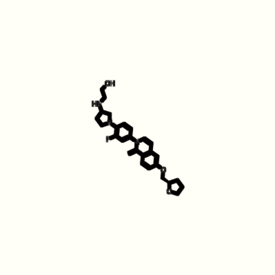 C=C1c2ccc(OC[C@H]3CCCO3)cc2C=CN1c1ccc(N2CCC(NCCO)C2)c(F)c1